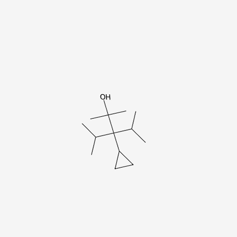 CC(C)C(C(C)C)(C1CC1)C(C)(C)O